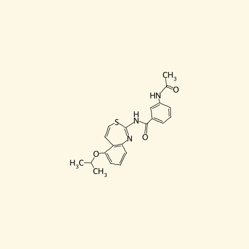 CC(=O)Nc1cccc(C(=O)NC2=Nc3cccc(OC(C)C)c3C=CS2)c1